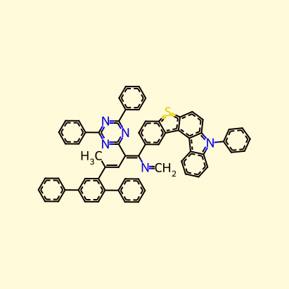 C=N/C(=C(\C=C(/C)c1cc(-c2ccccc2)ccc1-c1ccccc1)c1nc(-c2ccccc2)nc(-c2ccccc2)n1)c1ccc2sc3ccc4c(c5ccccc5n4-c4ccccc4)c3c2c1